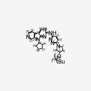 CC(C)(C)[Si](C)(C)O[C@@H]1CCN(c2ccc(Nc3ncc4c5ccncc5n(C5CCCC5)c4n3)nn2)C1